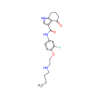 CCCCNCCOc1ccc(NC(=O)c2c[nH]c3c2C(=O)CCC3)cc1F